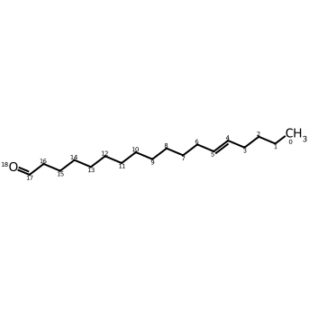 CCCCC=CCCCCCCCCCCCC=O